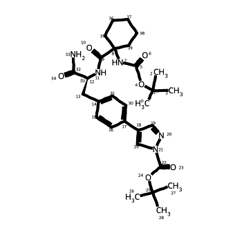 CC(C)(C)OC(=O)NC1(C(=O)N[C@@H](Cc2ccc(-c3cnn(C(=O)OC(C)(C)C)c3)cc2)C(N)=O)CCCCC1